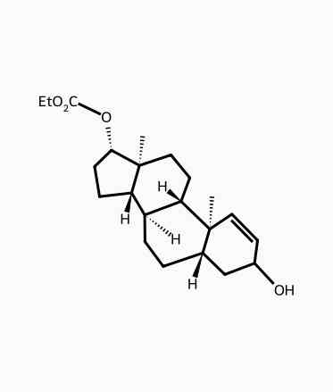 CCOC(=O)O[C@H]1CC[C@H]2[C@@H]3CC[C@H]4CC(O)C=C[C@]4(C)[C@H]3CC[C@]12C